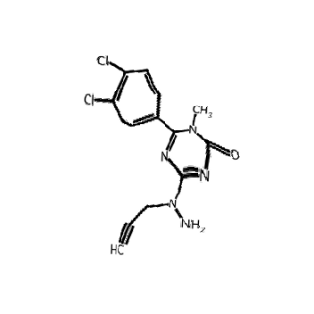 C#CCN(N)c1nc(-c2ccc(Cl)c(Cl)c2)n(C)c(=O)n1